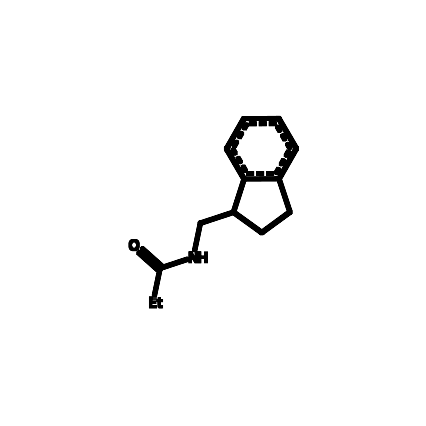 CCC(=O)NCC1CCc2ccccc21